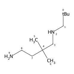 CC(C)(C)CNCC(C)(C)CCN